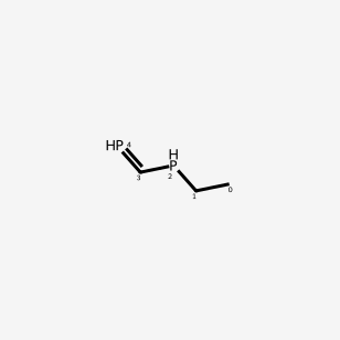 CCPC=P